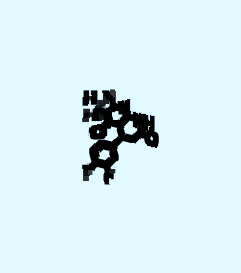 Nc1nc2c(c(=O)[nH]1)C(c1ccc(F)c(F)c1)CC(=O)N2